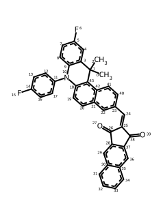 CC1(C)c2cc(F)ccc2N(c2ccc(F)cc2)c2ccc3cc(C=C4C(=O)c5cc6ccccc6cc5C4=O)ccc3c21